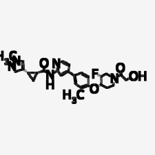 Cc1cc(-c2ccnc(NC(=O)[C@H]3C[C@@H]3c3cnn(C)c3)c2)ccc1O[C@H]1CCN(C(=O)CO)C[C@H]1F